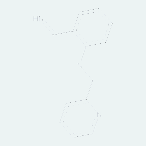 N=Cc1[c]cccc1NCc1ccccn1